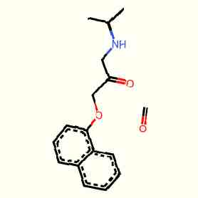 C=O.CC(C)NCC(=O)COc1cccc2ccccc12